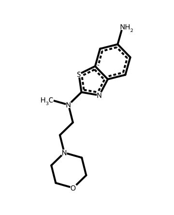 CN(CCN1CCOCC1)c1nc2ccc(N)cc2s1